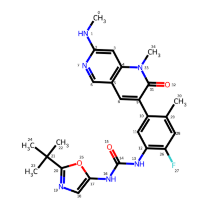 CNc1cc2c(cn1)cc(-c1cc(NC(=O)Nc3cnc(C(C)(C)C)o3)c(F)cc1C)c(=O)n2C